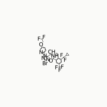 CC(NC(=O)c1cc(C(F)(F)F)cc(C(F)(F)C2CC2)c1)c1nc(Br)nn1-c1ccc(OCC(F)F)cn1